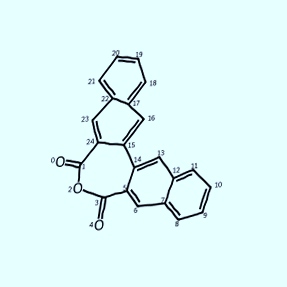 O=c1oc(=O)c2cc3ccccc3cc2c2cc3ccccc3cc12